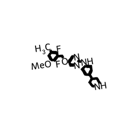 COc1cc(C)c(F)c(COc2cnc(Nc3ccc(C4CCNCC4)cc3)nc2)c1F